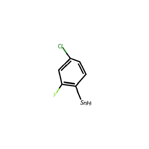 Fc1cc(Cl)cc[c]1[SnH]